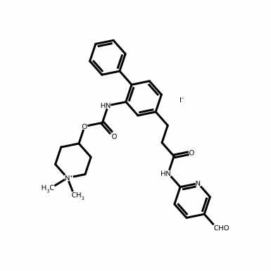 C[N+]1(C)CCC(OC(=O)Nc2cc(CCC(=O)Nc3ccc(C=O)cn3)ccc2-c2ccccc2)CC1.[I-]